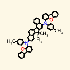 Cc1ccc(N(c2ccc3c4c(ccc3c2)-c2c(cc(N(c3ccc(C)cc3)c3cccc5c3oc3ccccc35)c3ccccc23)C4(C)C)c2cccc3c2oc2ccccc23)cc1